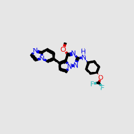 COc1nc(N[C@H]2CC[C@@H](OC(F)F)CC2)nn2ccc(-c3ccc4nccn4c3)c12